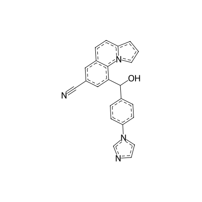 N#Cc1cc(C(O)c2ccc(-n3ccnc3)cc2)c2c(ccc3cccn32)c1